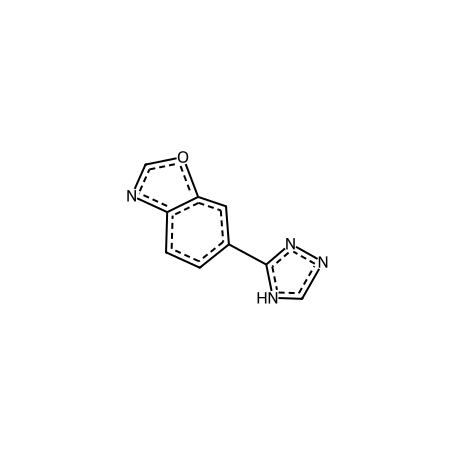 c1nnc(-c2ccc3ncoc3c2)[nH]1